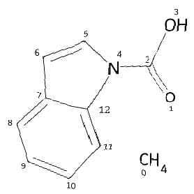 C.O=C(O)n1ccc2ccccc21